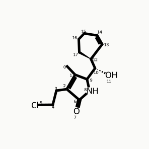 CC1=C(CCCl)C(=O)NC1[C@@H](O)[C@@H]1C=CCCC1